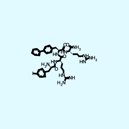 N=C(N)NCCC[C@H](NC(=O)[C@H](Cc1ccc(-c2ccccc2)cc1)NC(=O)[C@H](CCCNC(=N)N)NC(=O)[C@@H](N)Cc1ccc(I)cc1)C(N)=O